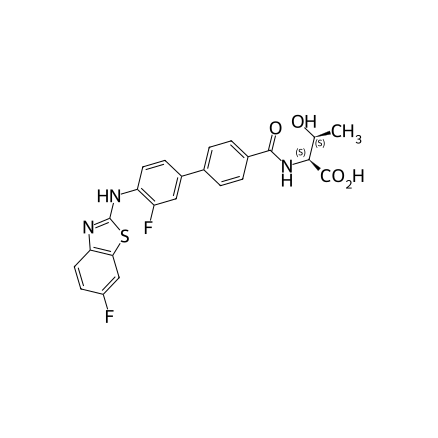 C[C@H](O)[C@H](NC(=O)c1ccc(-c2ccc(Nc3nc4ccc(F)cc4s3)c(F)c2)cc1)C(=O)O